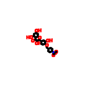 O=c1c(O)c(-c2ccc(OCc3ccc([N+](=O)[O-])cc3)c(O)c2)oc2cc(O)cc(O)c12